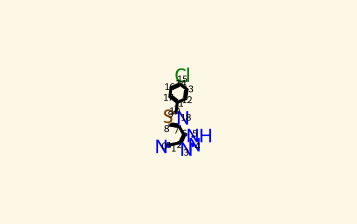 N#Cc1nn[nH]c1-c1csc(-c2ccc(Cl)cc2)n1